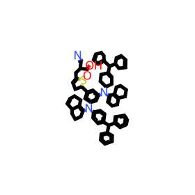 N#CC(CC1=CCC(c2cc(N(C3=C4CCC=CC4CCC3)c3ccc(C(c4cc#ccc4)c4ccccc4)cc3)cc(N(C3=CCCC4=C3CCCC4)C3CC=C(C(C4=CC=CCC4)C4C=CC=CC4)CC3)c2)S1)C(=O)O